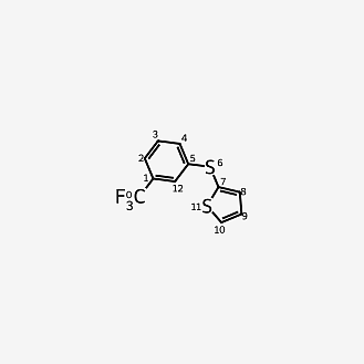 FC(F)(F)c1cccc(Sc2cccs2)c1